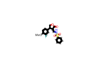 COc1ccc(C2COC(=O)C2=CNS(=O)(=O)c2ccccc2)cc1F